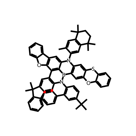 Cc1cc2c(cc1N1c3cc4c(cc3B3c5c1cc1c(oc6ccccc61)c5-c1cc5c(cc1N3c1ccc(C(C)(C)C)cc1-c1ccccc1)-c1ccccc1C5(C)C)Oc1ccccc1S4)C(C)(C)CCC2(C)C